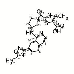 Cc1nc(-c2ccc3ccnc(N[C@@H]4CCN(C(=O)c5nc(C)c(C(=O)O)s5)C4)c3c2)no1